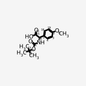 COc1ccc([C@@H](NC(=O)OC(C)(C)C)C(=O)O)cc1